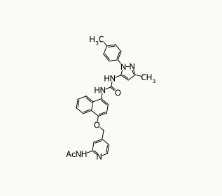 CC(=O)Nc1cc(COc2ccc(NC(=O)Nc3cc(C)nn3-c3ccc(C)cc3)c3ccccc23)ccn1